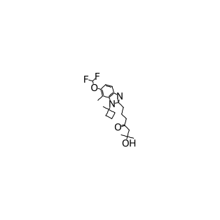 Cc1c(OC(F)F)ccc2nc(CCCC(=O)CC(C)(C)O)n(C3(C)CCC3)c12